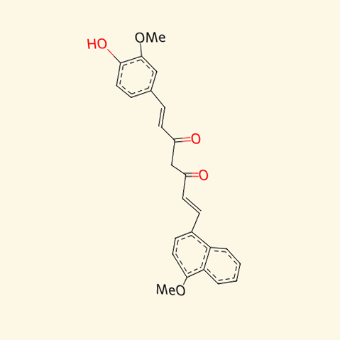 COc1cc(C=CC(=O)CC(=O)C=Cc2ccc(OC)c3ccccc23)ccc1O